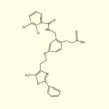 Cc1oc(-c2ccccc2)nc1CCOc1ccc(CCC(=O)O)c(CNC(=O)c2cccc(Cl)c2Cl)c1